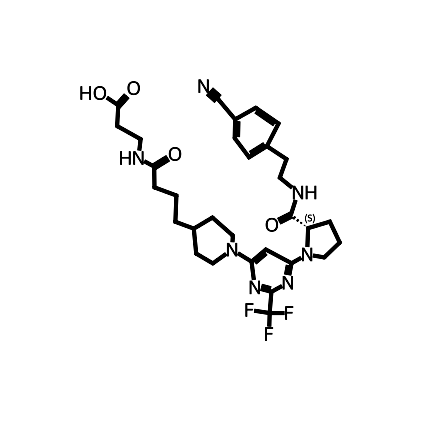 N#Cc1ccc(CCNC(=O)[C@@H]2CCCN2c2cc(N3CCC(CCCC(=O)NCCC(=O)O)CC3)nc(C(F)(F)F)n2)cc1